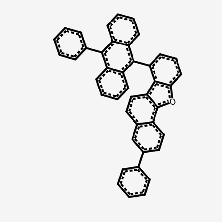 c1ccc(-c2ccc3c(ccc4c3oc3cccc(-c5c6ccccc6c(-c6ccccc6)c6ccccc56)c34)c2)cc1